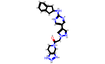 O=C(Cn1cc(-c2cnc(NC3Cc4ccccc4C3)nc2)cn1)N1CCc2[nH]nnc2C1